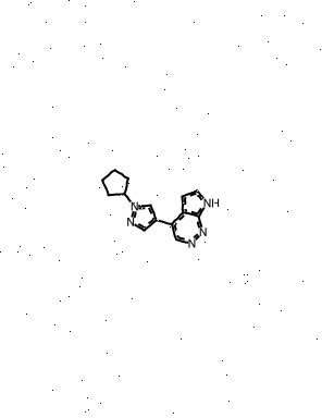 c1cc2c(-c3cnn(C4CCCC4)c3)cnnc2[nH]1